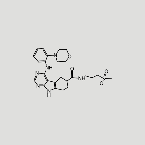 CS(=O)(=O)CCCNC(=O)C1CCc2[nH]c3ncnc(Nc4ccccc4N4CCOCC4)c3c2C1